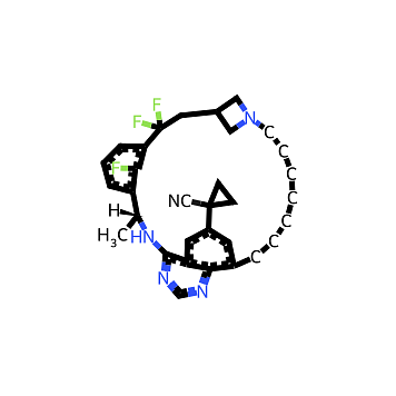 C[C@H]1Nc2ncnc3c(cc(C4(C#N)CC4)cc23)CCCCCCCN2CC(C2)CC(F)(F)c2cccc1c2F